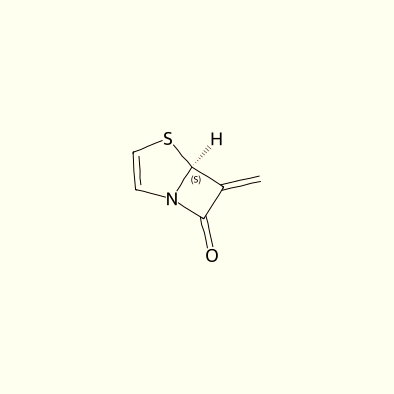 C=C1C(=O)N2C=CS[C@@H]12